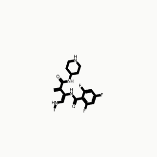 C=C(C(=O)NC1CCNCC1)/C(=C\NI)NC(=O)c1c(F)cc(F)cc1F